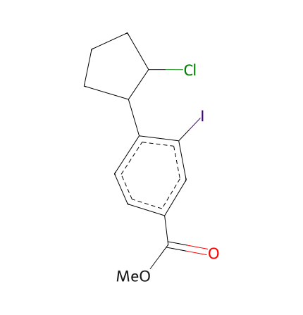 COC(=O)c1ccc(C2CCCC2Cl)c(I)c1